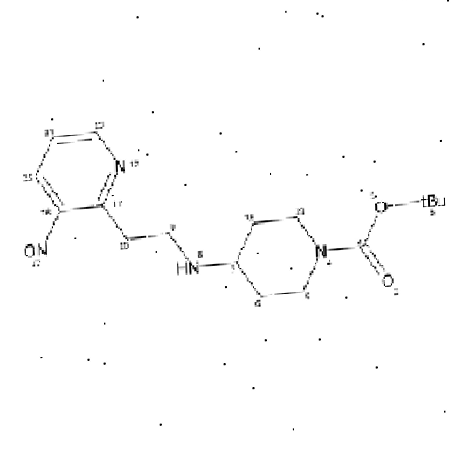 CC(C)(C)OC(=O)N1CCC(NCCc2ncccc2N=O)CC1